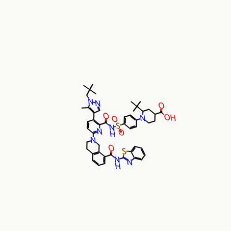 Cc1c(-c2ccc(N3CCc4cccc(C(=O)Nc5nc6ccccc6s5)c4C3)nc2C(=O)NS(=O)(=O)c2ccc(N3CCC(C(=O)O)CC3C(C)(C)C)cc2)cnn1CC(C)(C)C